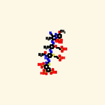 COc1ccc(S(=O)(=O)O)c2c1nc1c(C#N)c(C)c(N=Nc3cc(C)c(N=Nc4cc(NC(C)=O)c(N=Nc5nc6c(S(=O)(=O)O)cc7c(S(=O)(=O)O)cc(S(=O)(=O)O)cc7c6s5)cc4SCCCS(=O)(=O)O)cc3OCCCS(=O)(=O)O)c(O)n12